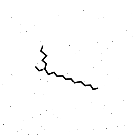 [CH2]CCCCCCCCCCCC(CC)CCCC[CH2]